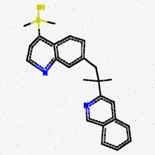 CC(C)(Cc1ccc2c(S(C)(C)S)ccnc2c1)c1cc2ccccc2cn1